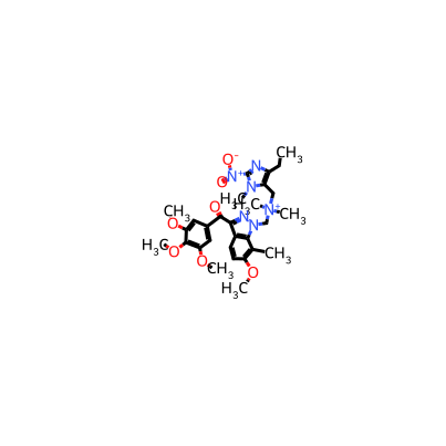 CCc1nc([N+](=O)[O-])n(C)c1C[N+](C)(C)Cn1nc(C(=O)c2cc(OC)c(OC)c(OC)c2)c2ccc(OC)c(C)c21